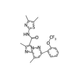 Cc1nc(NC(=O)c2c(C)nc3c(C)cc(-c4ccccc4OC(F)(F)F)nn23)sc1C